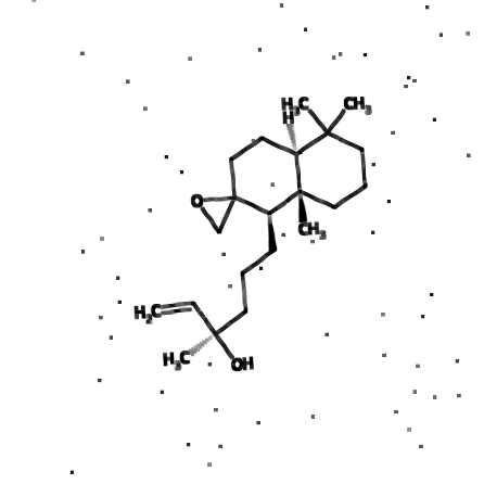 C=C[C@](C)(O)CCC[C@H]1C2(CC[C@H]3C(C)(C)CCC[C@@]31C)CO2